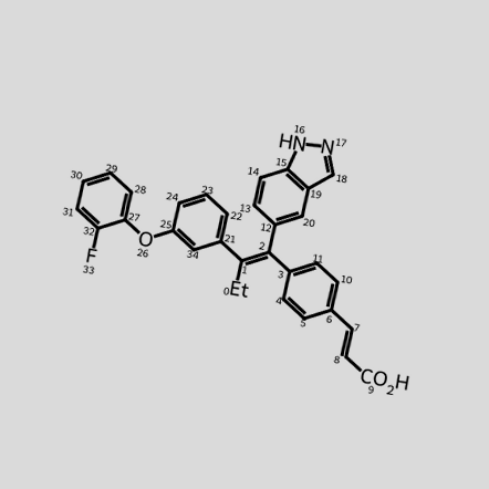 CCC(=C(c1ccc(C=CC(=O)O)cc1)c1ccc2[nH]ncc2c1)c1cccc(Oc2ccccc2F)c1